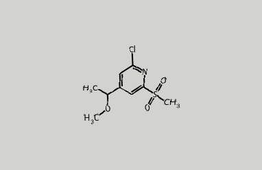 COC(C)c1cc(Cl)nc(S(C)(=O)=O)c1